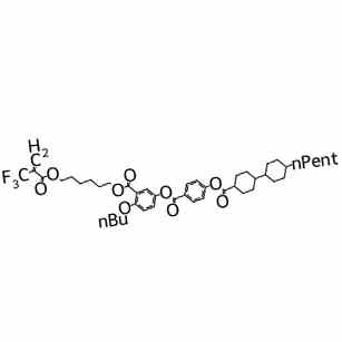 C=C(C(=O)OCCCCCCOC(=O)c1cc(OC(=O)c2ccc(OC(=O)C3CCC(C4CCC(CCCCC)CC4)CC3)cc2)ccc1OCCCC)C(F)(F)F